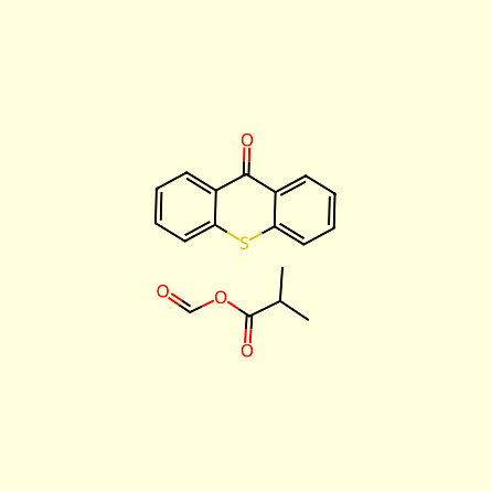 CC(C)C(=O)OC=O.O=c1c2ccccc2sc2ccccc12